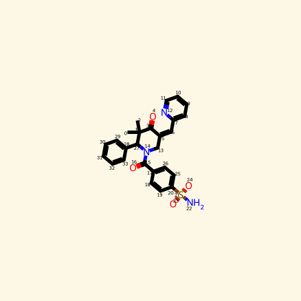 CC1(C)C(=O)/C(=C\c2ccccn2)CN(C(=O)c2ccc(S(N)(=O)=O)cc2)C1c1ccccc1